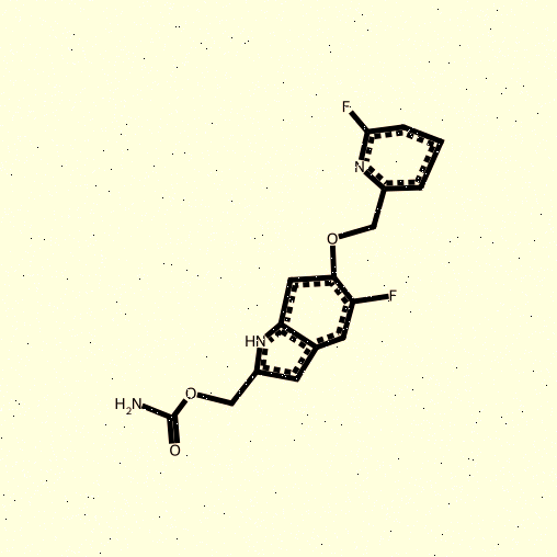 NC(=O)OCc1cc2cc(F)c(OCc3cccc(F)n3)cc2[nH]1